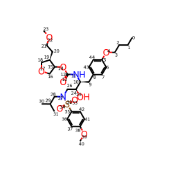 CCCCOc1ccc(C[C@H](NC(=O)OC2COC[C@H]2CCOC)[C@@H](O)CN(CC(C)C)S(=O)(=O)c2ccc(OC)cc2)cc1